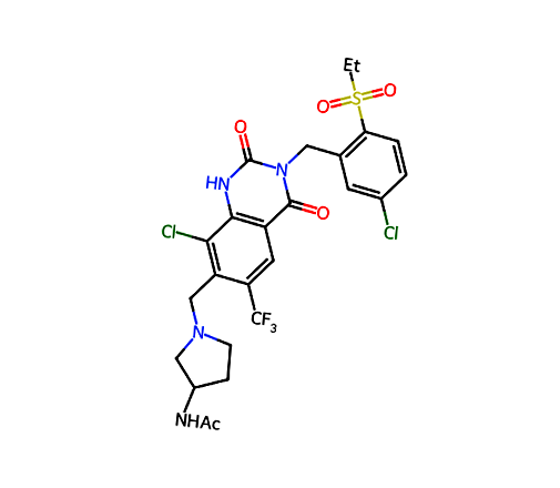 CCS(=O)(=O)c1ccc(Cl)cc1Cn1c(=O)[nH]c2c(Cl)c(CN3CCC(NC(C)=O)C3)c(C(F)(F)F)cc2c1=O